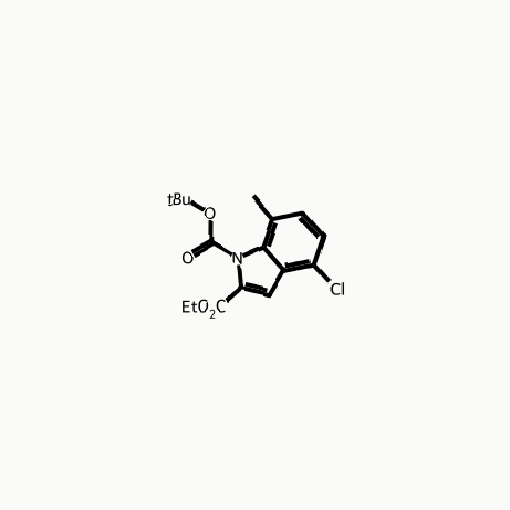 CCOC(=O)c1cc2c(Cl)ccc(C)c2n1C(=O)OC(C)(C)C